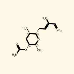 C=C/C(C)=C/C[C@@H]1O[C@H](C)[C@H](OC(N)=O)C[C@@H]1C